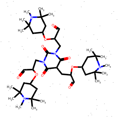 CN1C(C)(C)CC(OC(C=O)CC2C(=O)N(CC(C=O)OC3CC(C)(C)N(C)C(C)(C)C3)C(=O)N(CC(C=O)OC3CC(C)(C)N(C)C(C)(C)C3)C2=O)CC1(C)C